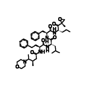 CCC[C@H](NC(=O)[C@H](Cc1ccccc1)NC(=O)[C@H](CC(C)C)NC(=O)[C@H](CCc1ccccc1)NC(=O)C[C@@H](C)C(C)N1CCOCC1)C(=O)[C@@]1(C)CO1